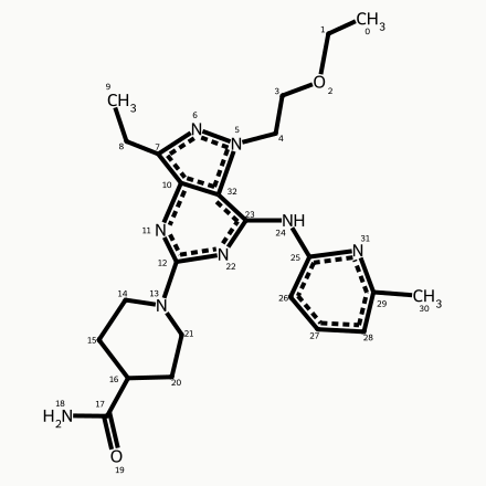 CCOCCn1nc(CC)c2nc(N3CCC(C(N)=O)CC3)nc(Nc3cccc(C)n3)c21